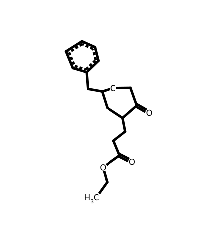 CCOC(=O)CCC1CC(Cc2ccccc2)CCC1=O